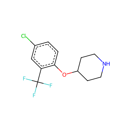 FC(F)(F)c1cc(Cl)ccc1OC1CCNCC1